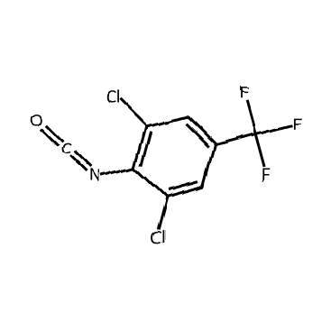 O=C=Nc1c(Cl)cc(C(F)(F)F)cc1Cl